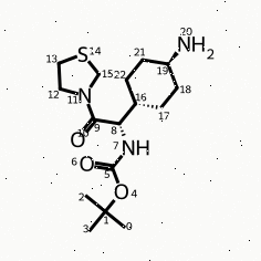 CC(C)(C)OC(=O)N[C@H](C(=O)N1CCSC1)[C@H]1CC[C@H](N)CC1